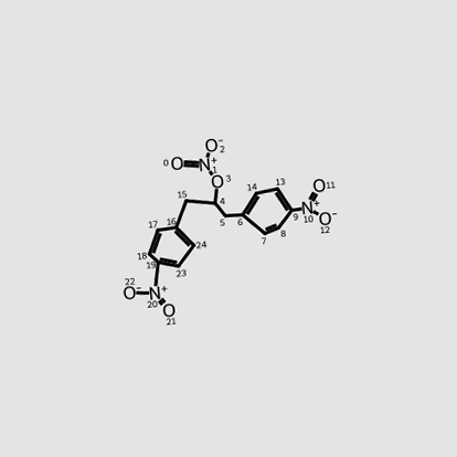 O=[N+]([O-])OC(Cc1ccc([N+](=O)[O-])cc1)Cc1ccc([N+](=O)[O-])cc1